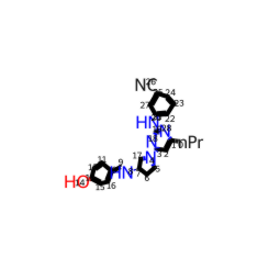 CCCc1cc(N2CC[C@H](NCc3ccc(O)cc3)C2)nc(Nc2cccc(C#N)c2)n1